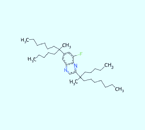 CCCCCCCC(C)(CCCCC)c1cnc2cc(C(C)(CCCCC)CCCCCC)cc(F)c2n1